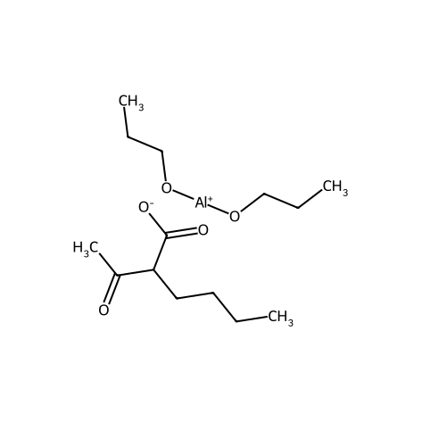 CCCCC(C(C)=O)C(=O)[O-].CCC[O][Al+][O]CCC